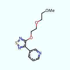 COCCOCCOc1nsnc1-c1cccnc1